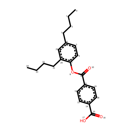 CCCCc1ccc(OC(=O)c2ccc(C(=O)O)cc2)c(CCCC)c1